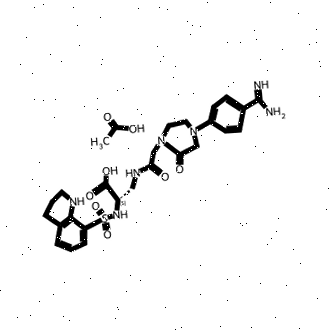 CC(=O)O.N=C(N)c1ccc(N2CCN(CC(=O)NC[C@H](NS(=O)(=O)c3cccc4c3NCCC4)C(=O)O)C(=O)C2)cc1